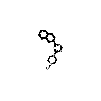 CN1CCN(c2ncnc(-c3ccc4ccccc4c3)n2)CC1